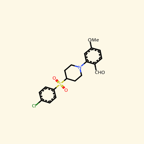 COc1ccc(C=O)c(N2CCC(S(=O)(=O)c3ccc(Cl)cc3)CC2)c1